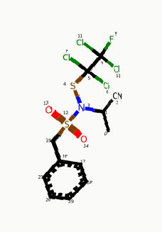 CC(C#N)N(SC(Cl)(Cl)C(F)(Cl)Cl)S(=O)(=O)Cc1ccccc1